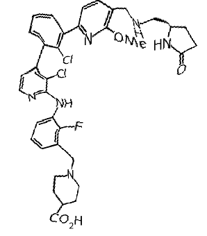 COc1nc(-c2cccc(-c3ccnc(Nc4cccc(CN5CCC(C(=O)O)CC5)c4F)c3Cl)c2Cl)ccc1CNC[C@H]1CCC(=O)N1